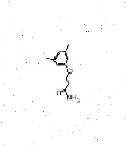 Cc1cc(C)cc(OCCC(N)=O)c1